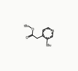 CC(C)(C)OC(=O)Cc1ccbcc1C(C)(C)C